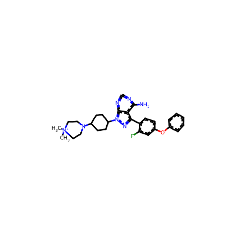 C[N+]1(C)CCN(C2CCC(n3nc(-c4ccc(Oc5ccccc5)cc4F)c4c(N)ncnc43)CC2)CC1